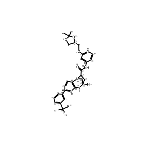 CC1(C)OC[C@H](COc2cc(NC(=O)C3C[C@H]4CN3c3ccc(-c5cccc(C(F)(F)F)c5)nc3N4)ccn2)O1